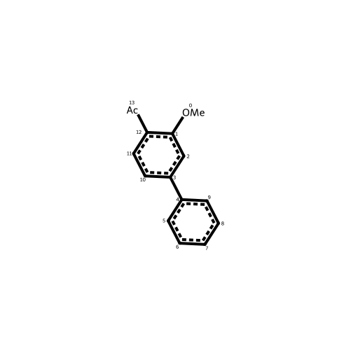 COc1cc(-c2ccccc2)ccc1C(C)=O